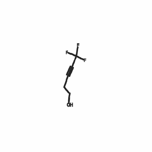 OCCC#CC(F)(F)F